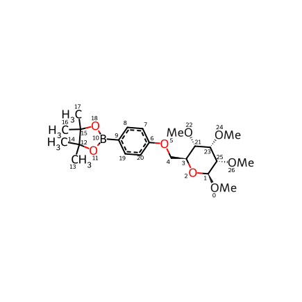 CO[C@H]1O[C@@H](COc2ccc(B3OC(C)(C)C(C)(C)O3)cc2)[C@H](OC)[C@H](OC)[C@@H]1OC